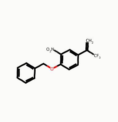 C=C(c1ccc(OCc2ccccc2)c([N+](=O)[O-])c1)C(F)(F)F